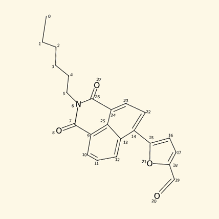 CCCCCCN1C(=O)c2cccc3c(-c4ccc(C=O)o4)ccc(c23)C1=O